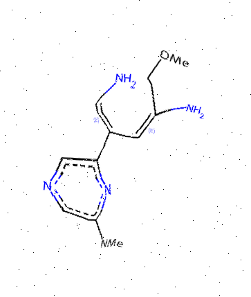 CNc1cncc(C(/C=C(/N)COC)=C/N)n1